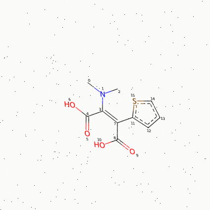 CN(C)C(C(=O)O)=C(C(=O)O)c1cccs1